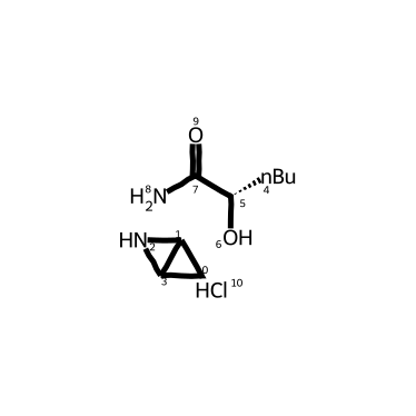 C1C2NC12.CCCC[C@H](O)C(N)=O.Cl